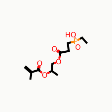 C=C(C)C(=O)OC(C)COC(=O)CCP(=O)(O)CC